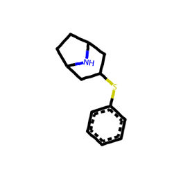 c1ccc(SC2CC3CCC(C2)N3)cc1